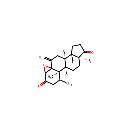 C=C1C[C@@H]2[C@@H](CC[C@]3(C)C(=O)CC[C@@H]23)[C@@]2(C)C(C)CC(=O)C3OC132